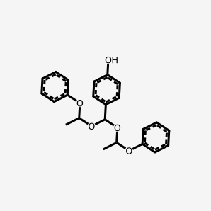 CC(Oc1ccccc1)OC(OC(C)Oc1ccccc1)c1ccc(O)cc1